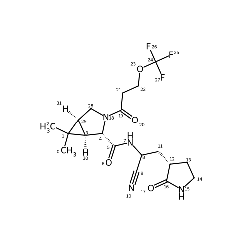 CC1(C)[C@@H]2[C@@H](C(=O)NC(C#N)C[C@@H]3CCNC3=O)N(C(=O)CCOC(F)(F)F)C[C@@H]21